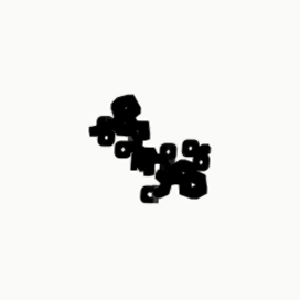 CC(=O)Oc1cc2c(c3ccccc13)CCN2C(=O)c1cc(C(=O)N2CC(CCl)c3c2cc(OC(C)=O)c2ccccc32)n(C)n1